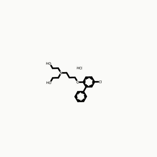 Cl.OCCN(CCO)CCCOc1ccc(Cl)cc1-c1ccccc1